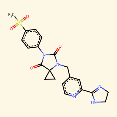 O=C1N(c2ccc(S(=O)(=O)C(F)(F)F)cc2)C(=O)C2(CC2)N1Cc1ccnc(C2=NCCN2)c1